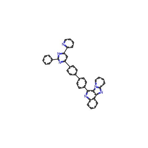 c1ccc(-c2nc(-c3ccc(-c4ccc(-c5nc6ccccc6c6nc7ccccn7c56)cc4)cc3)cc(-c3ccccn3)n2)cc1